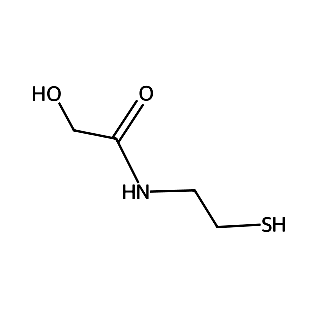 O=C(CO)NCCS